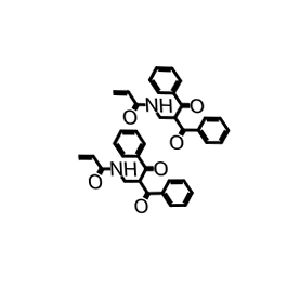 C=CC(=O)NCC(C(=O)c1ccccc1)C(=O)c1ccccc1.C=CC(=O)NCC(C(=O)c1ccccc1)C(=O)c1ccccc1